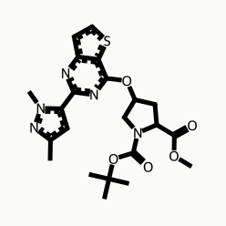 COC(=O)C1CC(Oc2nc(-c3cc(C)nn3C)nc3ccsc23)CN1C(=O)OC(C)(C)C